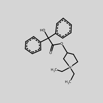 CC[N+]1(CC)CCC(OC(=O)C(O)(c2ccccc2)c2ccccc2)C1